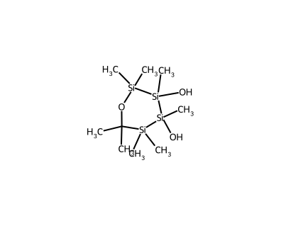 CC1(C)O[Si](C)(C)[Si](C)(O)[Si](C)(O)[Si]1(C)C